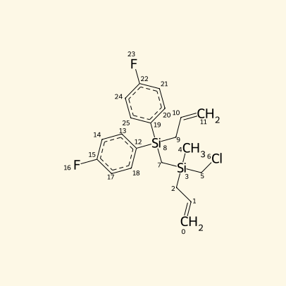 C=CC[Si](C)(CCl)C[Si](CC=C)(c1ccc(F)cc1)c1ccc(F)cc1